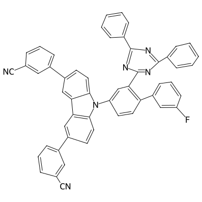 N#Cc1cccc(-c2ccc3c(c2)c2cc(-c4cccc(C#N)c4)ccc2n3-c2ccc(-c3cccc(F)c3)c(-c3nc(-c4ccccc4)nc(-c4ccccc4)n3)c2)c1